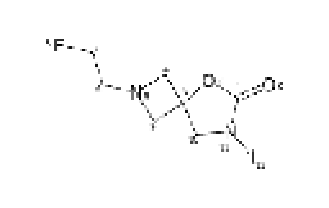 O=C1OC2(CN(CCF)C2)CN1I